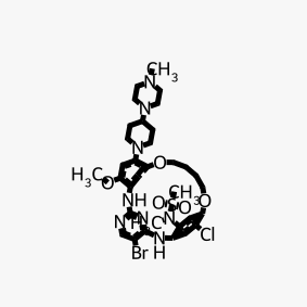 COc1cc(N2CCC(N3CCN(C)CC3)CC2)c2cc1Nc1ncc(Br)c(n1)Nc1cc(Cl)c(cc1N(C)S(C)(=O)=O)OCCCCO2